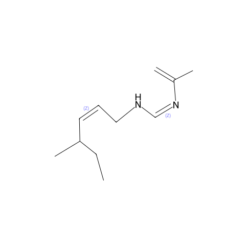 C=C(C)/N=C\NC/C=C\C(C)CC